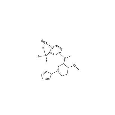 COC1CCC(C2C=CC=C2)=CC1N(C)c1ccc(C#N)c(C(F)(F)F)c1